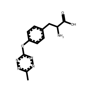 Cc1nnc(Oc2ccc(CC(N)C(=O)O)cc2)nn1